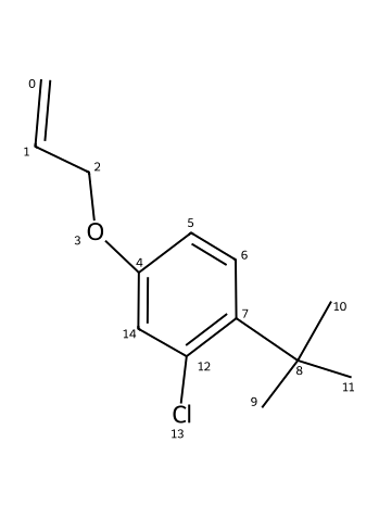 C=CCOc1ccc(C(C)(C)C)c(Cl)c1